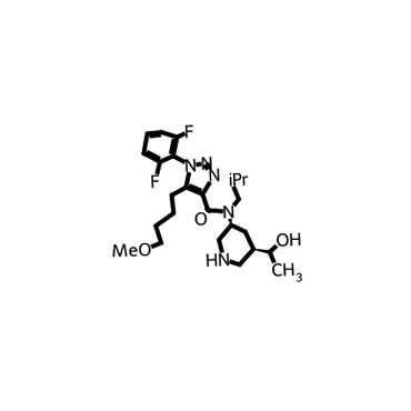 COCCCCc1c(C(=O)N(CC(C)C)[C@@H]2CNC[C@H](C(C)O)C2)nnn1-c1c(F)cccc1F